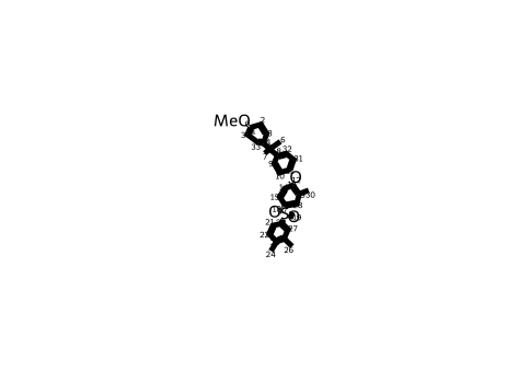 COc1ccc(C(C)(C)c2ccc(Oc3ccc(S(=O)(=O)c4ccc(C)c(C)c4)cc3C)cc2)cc1